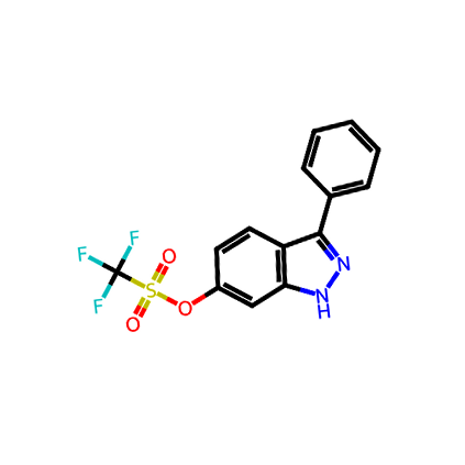 O=S(=O)(Oc1ccc2c(-c3ccccc3)n[nH]c2c1)C(F)(F)F